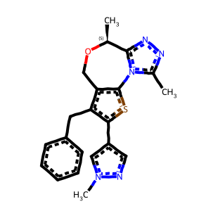 Cc1nnc2n1-c1sc(-c3cnn(C)c3)c(Cc3ccccc3)c1CO[C@H]2C